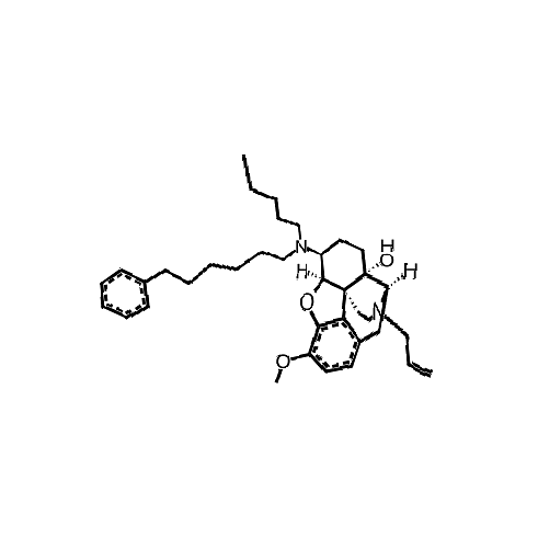 C=CCN1CC[C@]23c4c5ccc(OC)c4O[C@H]2[C@@H](N(CCCCC)CCCCCCc2ccccc2)CC[C@@]3(O)[C@H]1C5